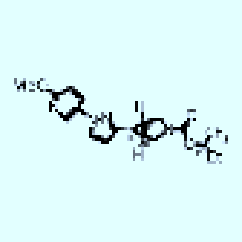 CC[C@@H](OC(=O)N1C[C@@H]2[C@H](C1)[C@H]2c1ccn(-c2ccc(OC)nc2)n1)C(F)(F)F